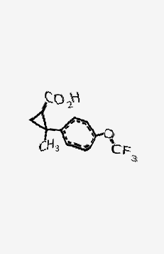 CC1(c2ccc(OC(F)(F)F)cc2)CC1C(=O)O